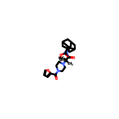 COC(=O)C12CC3CC(C1)C(NC(=O)C(C)(C)N1CCN(C(=O)c4ccco4)CC1)C(C3)C2